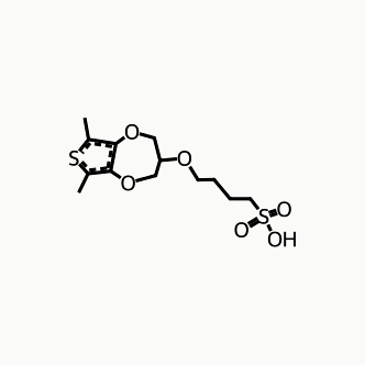 Cc1sc(C)c2c1OCC(OCCCCS(=O)(=O)O)CO2